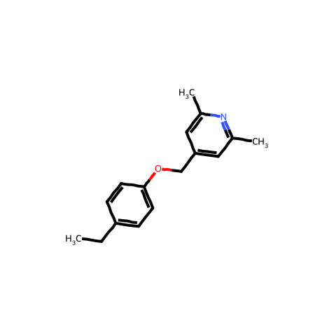 CCc1ccc(OCc2cc(C)nc(C)c2)cc1